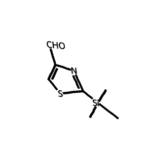 C[Si](C)(C)c1nc(C=O)cs1